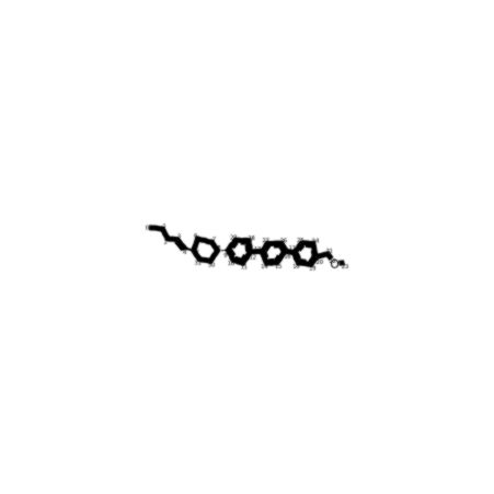 CCCC=C[C@H]1CC[C@H](c2ccc(-c3ccc(-c4ccc(COC)cc4)cc3)cc2)CC1